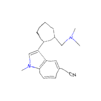 CN(C)CC1CCCC1c1cn(C)c2ccc(C#N)cc12